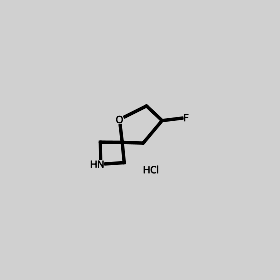 Cl.FC1COC2(CNC2)C1